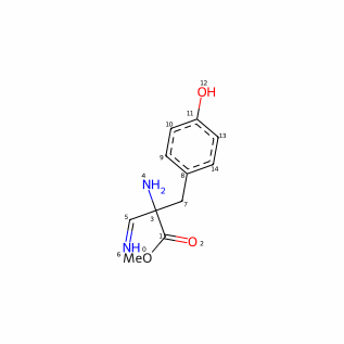 COC(=O)C(N)(C=N)Cc1ccc(O)cc1